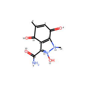 CC1=CC(=O)c2c(c(C(N)=O)[n+](O)n2C)C1=O